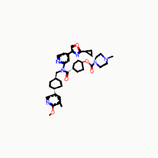 COc1ncc([C@H]2CC[C@H](CN(c3cc(-c4coc(C5CC5)n4)ccn3)C(=O)[C@H]3CC[C@H](OC(=O)N4CCN(C)CC4)CC3)CC2)cc1C